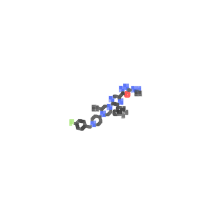 CCNc1nnc(-c2cnc(N3C[C@H](CC)N(C4CCN(Cc5ccc(F)cc5)CC4)C[C@H]3C)c(C)n2)o1